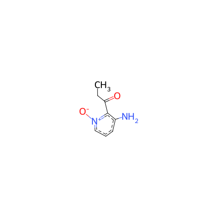 CCC(=O)c1c(N)ccc[n+]1[O-]